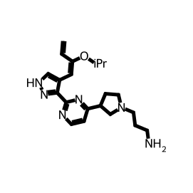 C=C/C(=C\c1c[nH]nc1-c1nccc(C2CCN(CCCN)C2)n1)OC(C)C